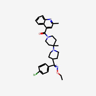 CCO/N=C(\c1ccc(Br)cc1)C1CCN(C2(C)CCN(C(=O)c3cc(C)nc4ccccc34)CC2)CC1